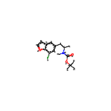 CC(Cc1cc(F)c2occc2c1)N(C)C(=O)OC(C)(C)C